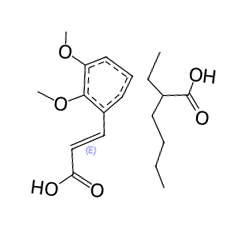 CCCCC(CC)C(=O)O.COc1cccc(/C=C/C(=O)O)c1OC